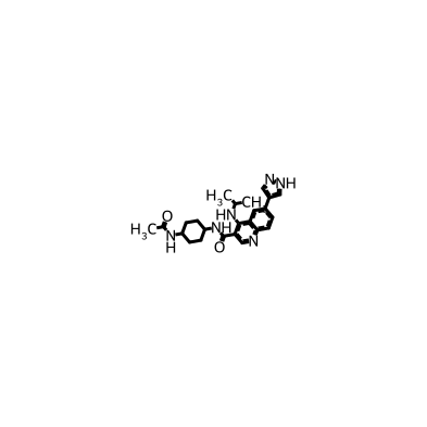 CC(=O)NC1CCC(NC(=O)c2cnc3ccc(-c4cn[nH]c4)cc3c2NC(C)C)CC1